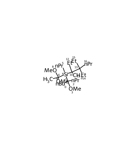 CCCCC(CCC)(OC)[Si](CCC)(C(C)(OC)OC)C(C)(CC)C(CC)(CC)CCC